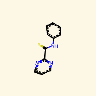 S=C(Nc1ccccc1)c1ncccn1